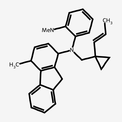 CC=CC1(CN(c2ccccc2NC)C2C=CC(C)C3=C2Cc2ccccc23)CC1